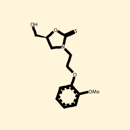 COc1ccccc1OCCN1C[C@@H](CO)OC1=S